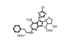 CCc1noc([C@]2(c3nc4nc(N[C@H](CO)Cc5ccccc5)nc(N)c4[nH]3)OC[C@H](O)[C@H]2OC=O)n1